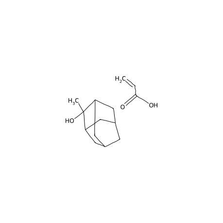 C=CC(=O)O.CC1(O)C2CC3CC(C2)CC1C3